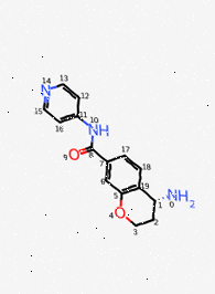 N[C@@H]1CCOc2cc(C(=O)Nc3ccncc3)ccc21